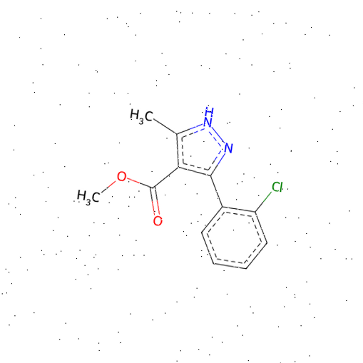 COC(=O)c1c(-c2ccccc2Cl)n[nH]c1C